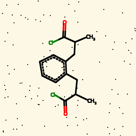 CC(Cc1ccccc1CC(C)C(=O)Cl)C(=O)Cl